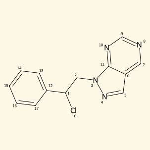 ClC(Cn1ncc2cncnc21)c1ccccc1